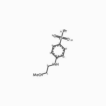 COCCNc1ccc(S(=O)(=O)C(C)C)cc1